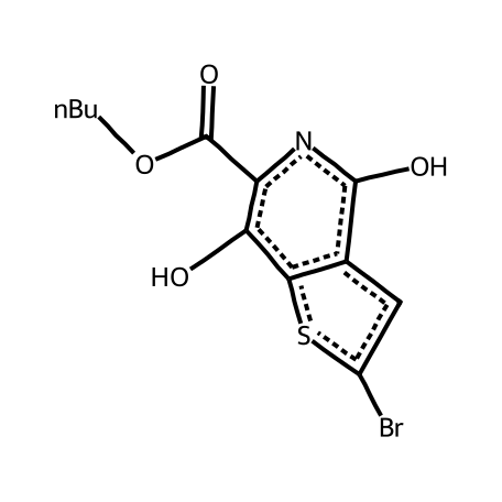 CCCCOC(=O)c1nc(O)c2cc(Br)sc2c1O